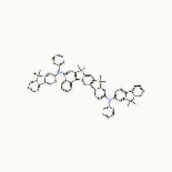 CC1(C)c2ccccc2-c2ccc(N(c3ccccc3)c3ccc4c(c3)C(C)(C)c3cc5c(cc3-4)-c3c(cc(N(c4ccccc4)c4ccc6c(c4)C(C)(C)c4ccccc4-6)c4ccccc34)C5(C)C)cc21